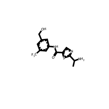 CC(N)c1ncc(C(=O)Nc2cc(CO)cc(C(F)(F)F)c2)s1